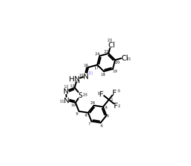 FC(F)(F)c1cccc(Cc2nnc(N/N=C/c3ccc(Cl)c(Cl)c3)s2)c1